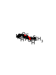 COC(=S)NC[C@H]1CN(c2cc(F)c(N3CCNN(C(=O)NCc4ccc5nccnc5c4)CC3)c(F)c2)C(=O)O1